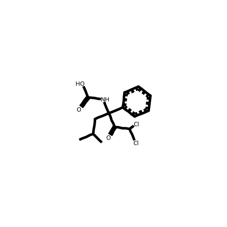 CC(C)CC(NC(=O)O)(C(=O)C(Cl)Cl)c1ccccc1